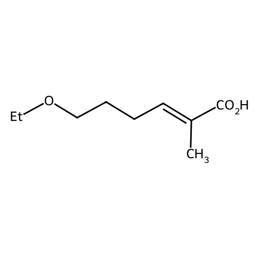 CCOCCCC=C(C)C(=O)O